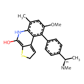 CN[C@H](C)c1ccc(-c2c(OC)cc(C)c3c2C2=CCSC2=C(O)N3)cc1